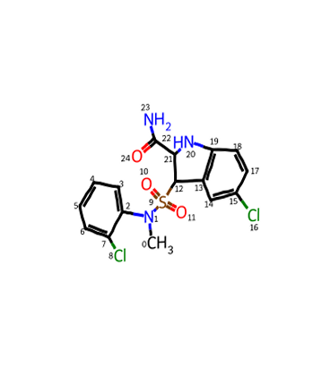 CN(c1ccccc1Cl)S(=O)(=O)C1c2cc(Cl)ccc2NC1C(N)=O